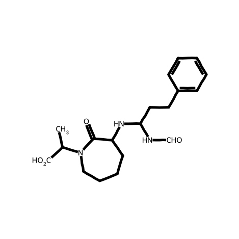 CC(C(=O)O)N1CCCCC(NC(CCc2ccccc2)NC=O)C1=O